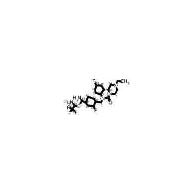 CCN1CCN(C(=O)N(CC2CCC(C(N)OC(N)C(F)(F)F)CC2F)C2CCC(F)CC2)CC1